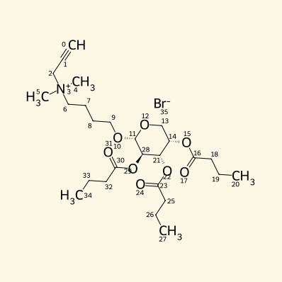 C#CC[N+](C)(C)CCCCO[C@@H]1OC[C@H](OC(=O)CCC)[C@H](OC(=O)CCC)[C@H]1OC(=O)CCC.[Br-]